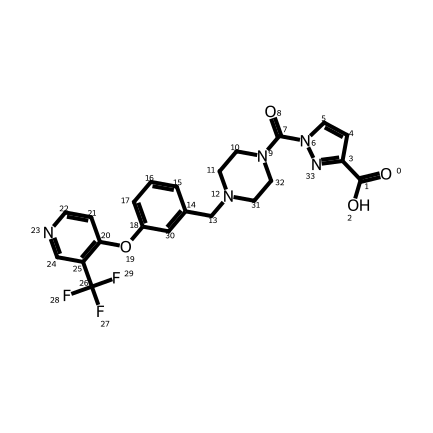 O=C(O)c1ccn(C(=O)N2CCN(Cc3cccc(Oc4ccncc4C(F)(F)F)c3)CC2)n1